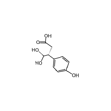 O=C(O)C[C@H](c1ccc(O)cc1)C(O)O